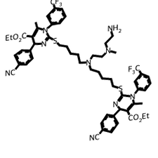 CCOC(=O)C1=C(C)N(c2cccc(C(F)(F)F)c2)C(SCCCCCN(CCCCCSC2=NC(c3ccc(C#N)cc3)C(C(=O)OCC)=C(C)N2c2cccc(C(F)(F)F)c2)CCN(C)CCN)=NC1c1ccc(C#N)cc1